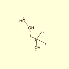 CC(C)(C)O.OO